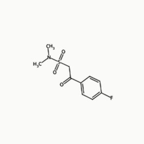 CN(C)S(=O)(=O)CC(=O)c1ccc(F)cc1